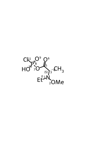 CCN(OC)[C@@H](C)C(=O)OP(=O)(O)Cl